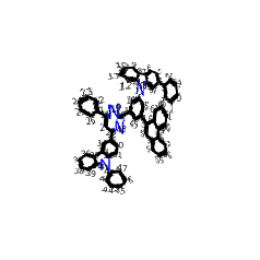 c1ccc(-c2ccc3c4ccccc4n(-c4cc(-c5nc(-c6ccccc6)cc(-c6ccc7c(c6)c6ccccc6n7-c6ccccc6)n5)cc(-c5cc6ccccc6c6ccccc56)c4)c3c2)cc1